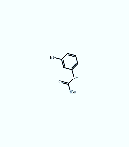 CCc1cccc(NC(=O)C(C)(C)C)c1